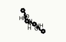 O=C(/C=C/c1ccccc1)Nc1ccc(-c2nc3cc(NC(=O)/C=C/c4ccccc4)ccc3[nH]2)cc1